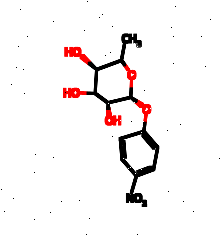 CC1O[C@@H](Oc2ccc([N+](=O)[O-])cc2)[C@@H](O)C(O)[C@H]1O